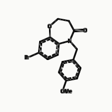 COc1ccc(CN2C(=O)CCOc3cc(Br)ccc32)cc1